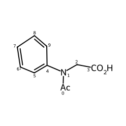 CC(=O)N(CC(=O)O)c1c[c]ccc1